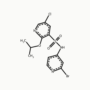 CC(C)Oc1ncc(Cl)cc1S(=O)(=O)Nc1ccnc(Br)c1